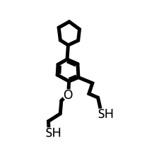 SCCCOc1ccc(C2CCCCC2)cc1CCCS